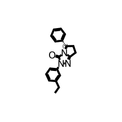 CCc1cccc(-n2nc3n(c2=O)[C@H](c2ccccc2)CC3)c1